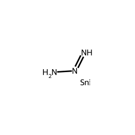 N=NN.[Sn]